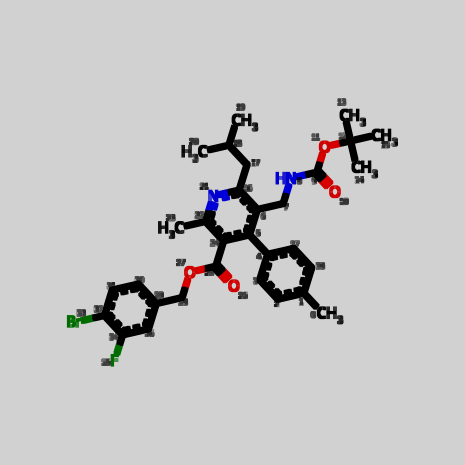 Cc1ccc(-c2c(CNC(=O)OC(C)(C)C)c(CC(C)C)nc(C)c2C(=O)OCc2ccc(Br)c(F)c2)cc1